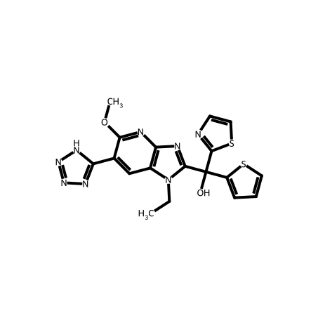 CCn1c(C(O)(c2cccs2)c2nccs2)nc2nc(OC)c(-c3nnn[nH]3)cc21